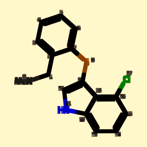 CNCc1ccccc1Sc1c[nH]c2cccc(Cl)c12